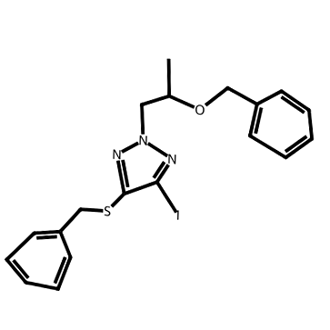 CC(Cn1nc(I)c(SCc2ccccc2)n1)OCc1ccccc1